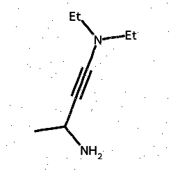 CCN(C#CC(C)N)CC